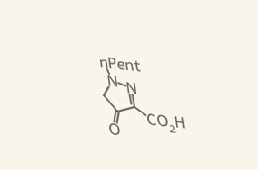 CCCCCN1CC(=O)C(C(=O)O)=N1